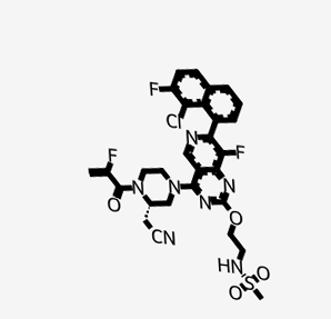 C=C(F)C(=O)N1CCN(c2nc(OCCNS(C)(=O)=O)nc3c(F)c(-c4cccc5ccc(F)c(Cl)c45)ncc23)C[C@@H]1CC#N